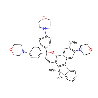 CCCC1(CCC)c2ccccc2-c2c1c1c(c3cc(SC)c(N4CCOCC4)cc23)OC(c2ccc(N3CCOCC3)cc2)(c2ccc(N3CCOCC3)cc2)C=C1